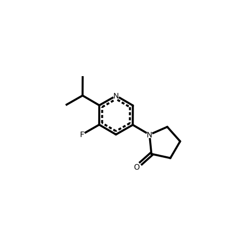 CC(C)c1ncc(N2CCCC2=O)cc1F